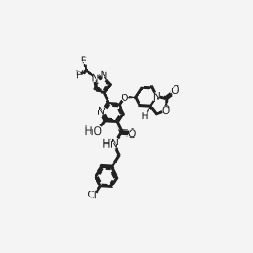 O=C(NCc1ccc(Cl)cc1)c1cc(O[C@H]2CCN3C(=O)OC[C@@H]3C2)c(-c2cnn(C(F)F)c2)nc1O